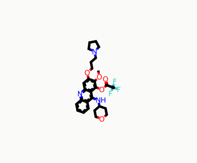 COc1c(OCCCN2CCCC2)cc2nc3ccccc3c(NC3CCOCC3)c2c1OC(=O)C(F)(F)F